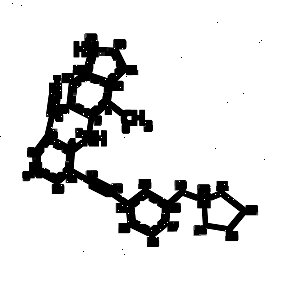 Cc1c(Nc2c(C#N)cncc2C#Cc2cccc(CN3CCCC3)c2)ccc2[nH]ccc12